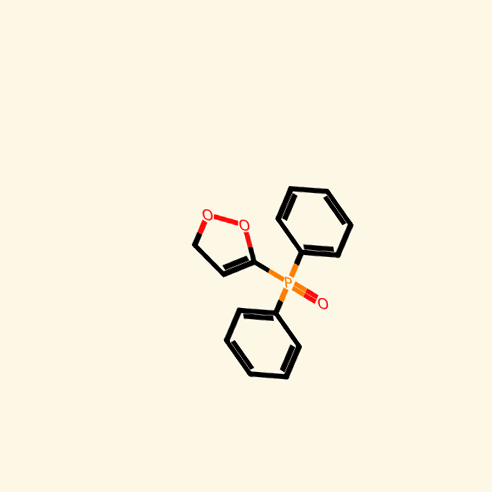 O=P(C1=CCOO1)(c1ccccc1)c1ccccc1